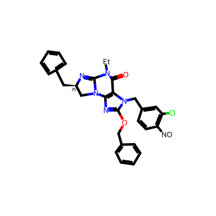 CCN1C(=O)c2c(nc(OCc3ccccc3)n2Cc2ccc(N=O)c(Cl)c2)N2C[C@@H](Cc3ccccc3)N=C12